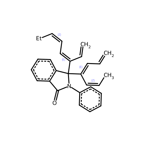 C=C/C=C(\C=C/C)C1(/C(C=C)=C/C=C\CC)c2ccccc2C(=O)N1c1ccccc1